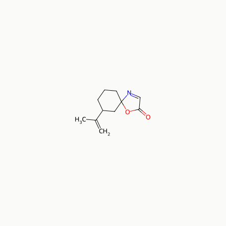 C=C(C)C1CCCC2(C1)N=CC(=O)O2